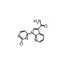 NC(=O)c1cn(-c2ccnc(Cl)n2)c2ncccc12